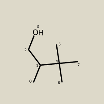 CC(CO)C(C)(C)C